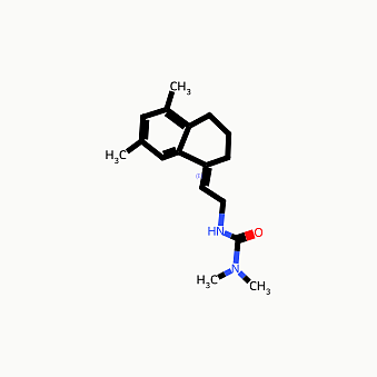 Cc1cc(C)c2c(c1)/C(=C/CNC(=O)N(C)C)CCC2